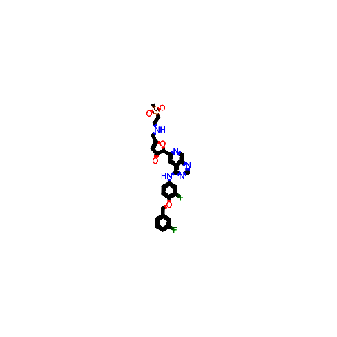 CS(=O)(=O)CCNCC1=CC(=O)C(c2cc3c(Nc4ccc(OCc5cccc(F)c5)c(F)c4)ncnc3cn2)O1